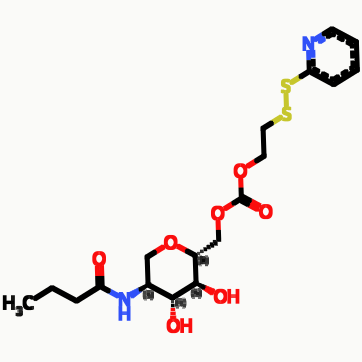 CCCC(=O)N[C@H]1CO[C@H](COC(=O)OCCSSc2ccccn2)[C@@H](O)[C@@H]1O